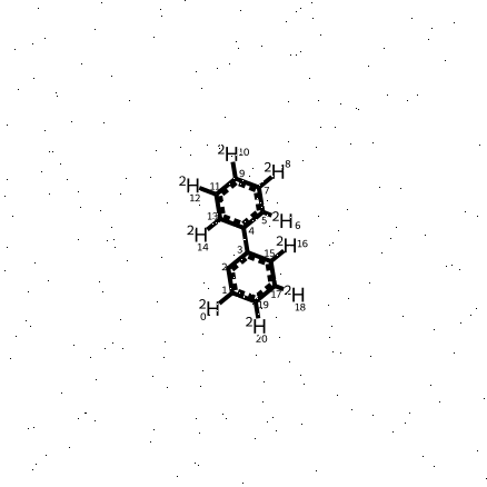 [2H]c1cc(-c2c([2H])c([2H])c([2H])c([2H])c2[2H])c([2H])c([2H])c1[2H]